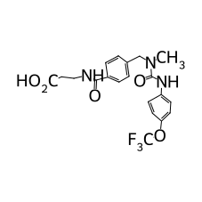 CN(Cc1ccc(C(=O)NCCC(=O)O)cc1)C(=O)Nc1ccc(OC(F)(F)F)cc1